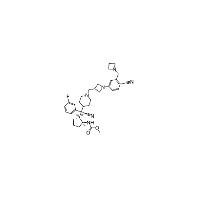 COC(=O)N[C@H]1CCC[C@@H]1[C@](C#N)(c1cccc(F)c1)C1CCN(CC2CN(c3ccc(C#N)c(CN4CCC4)c3)C2)CC1